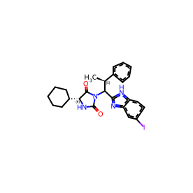 C[C@@H](c1ccccc1)C(c1nc2cc(I)ccc2[nH]1)N1C(=O)N[C@H](C2CCCCC2)C1=O